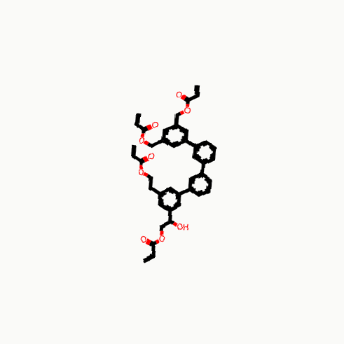 C=CC(=O)OCCc1cc(-c2cccc(-c3cccc(-c4cc(COC(=O)C=C)cc(COC(=O)C=C)c4)c3)c2)cc(C(O)COC(=O)C=C)c1